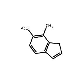 CC(=O)Oc1ccc2c(c1C)CC=C2